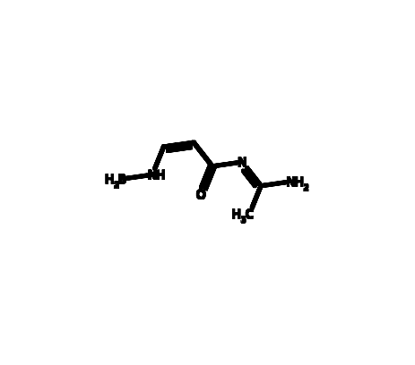 BN/C=C\C(=O)/N=C(\C)N